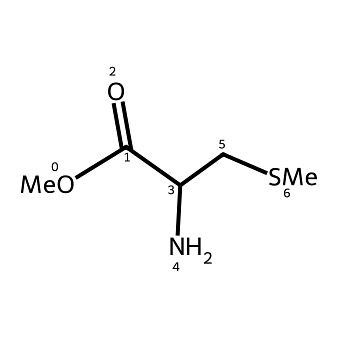 COC(=O)C(N)CSC